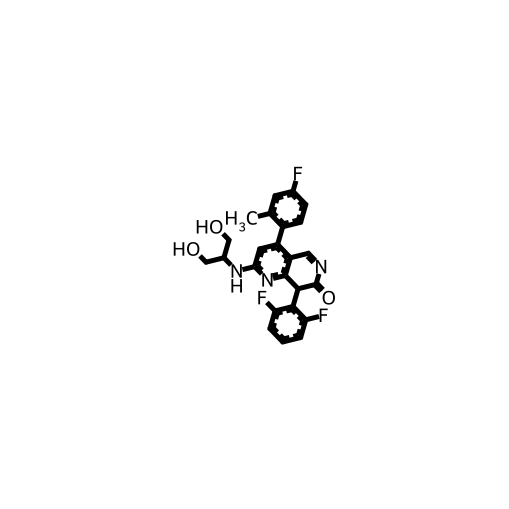 Cc1cc(F)ccc1-c1cc(NC(CO)CO)nc2c1C=NC(=O)C2c1c(F)cccc1F